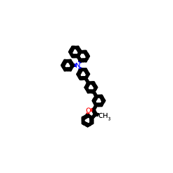 Cc1c(-c2cccc(-c3ccc(-c4ccc(N(c5ccccc5)c5cccc6ccccc56)cc4)cc3)c2)oc2ccccc12